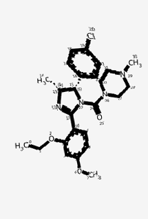 CCOc1cc(OC)ccc1C1=N[C@H](C)[C@H](c2ccc(Cl)cc2)N1C(=O)N1CCN(C)CC1